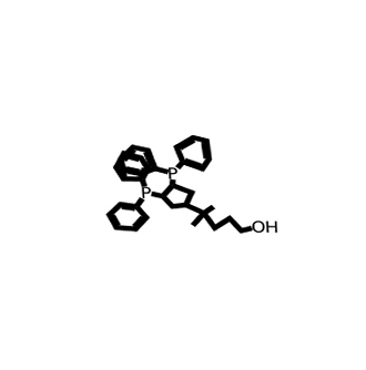 CC(C)(CCCO)C1CC(P(c2ccccc2)c2ccccc2)C(P(c2ccccc2)c2ccccc2)C1